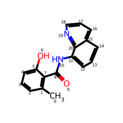 Cc1cccc(O)c1C(=O)Nc1cccc2cccnc12